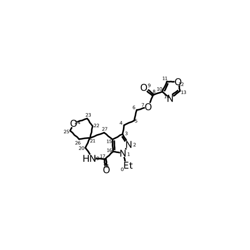 CCn1nc(CCCOC(=O)c2cocn2)c2c1C(=O)NCC1(CCOCC1)C2